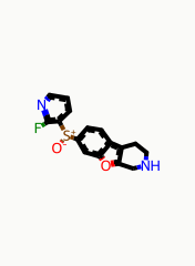 [O-][S+](c1ccc2c3c(oc2c1)CNCC3)c1cccnc1F